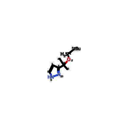 CC(C)(C)[SiH2]OC(C)(C)c1cc[nH]n1